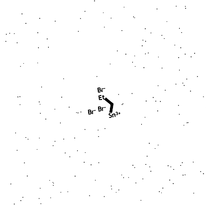 CC[CH2][Sn+3].[Br-].[Br-].[Br-]